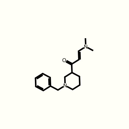 CN(C)C=CC(=O)C1CCCN(Cc2ccccc2)C1